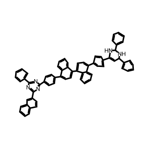 C1=C(c2ccc(-c3ccc(-c4ccc(-c5ccc(-c6nc(-c7ccccc7)nc(-c7ccc8ccccc8c7)n6)cc5)c5ccccc45)c4ccccc34)cc2)NC(c2ccccc2)NC1c1ccccc1